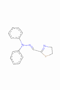 C(=N\N(c1ccccc1)c1ccccc1)/C1=NCCS1